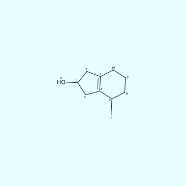 OC1CC2=C(C1)C(I)CCC2